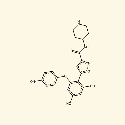 O=Nc1ccc(Oc2cc(O)cc(O)c2-c2cc(C(=O)NC3CCNCC3)no2)cc1